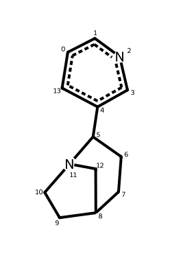 c1cncc(C2CCC3CCN2C3)c1